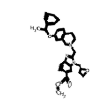 COC(=O)c1ccc2nc(CN3CCc4ccc(OC(C)c5ccccc5)cc4C3)n(C[C@@H]3CCO3)c2c1